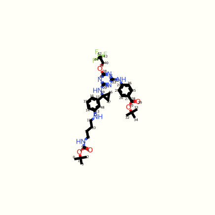 CC(C)(C)OC(=O)NCCCCNc1cccc(C2(Nc3nc(Nc4ccc(C(=O)OC(C)(C)C)cc4)nc(OCC(F)(F)F)n3)CC2)c1